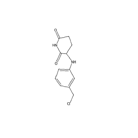 O=C1CCC(Nc2cccc(CCl)c2)C(=O)N1